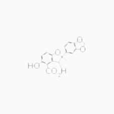 CC1c2c(ccc(O)c2C(=O)O)OC1(C)c1ccc2c(c1)OCO2